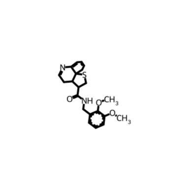 COc1cccc(CNC(=O)C2CSC34CC=CC=C3N=CCC24)c1OC